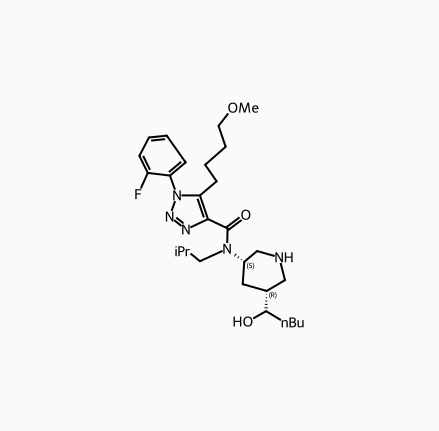 CCCCC(O)[C@H]1CNC[C@@H](N(CC(C)C)C(=O)c2nnn(-c3ccccc3F)c2CCCCOC)C1